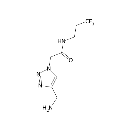 NCc1cn(CC(=O)NCCC(F)(F)F)nn1